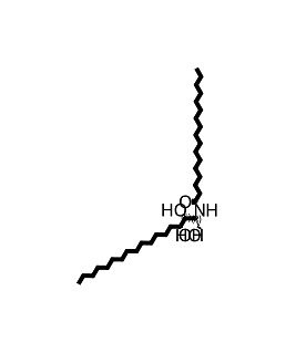 CCCCCCCCCCCCCCCCC(=O)N[C@H](CO)[C@H](O)C(O)CCCCCCCCCCCCCC